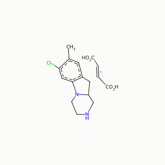 Cc1cc2c(cc1Cl)N1CCNCC1C2.O=C(O)/C=C/C(=O)O